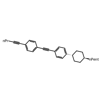 CCCC#Cc1ccc(C#Cc2ccc([C@H]3CC[C@H](CCCCC)CC3)cc2)cc1